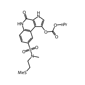 CCCOC(=O)Oc1c[nH]c2c(=O)[nH]c3ccc(S(=O)(=O)N(C)CCSC)cc3c12